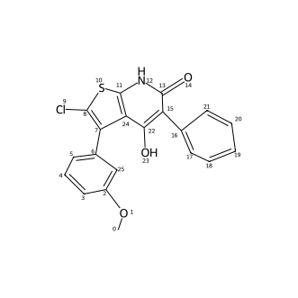 COc1cccc(-c2c(Cl)sc3[nH]c(=O)c(-c4ccccc4)c(O)c23)c1